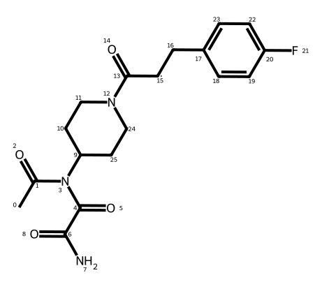 CC(=O)N(C(=O)C(N)=O)C1CCN(C(=O)[CH]Cc2ccc(F)cc2)CC1